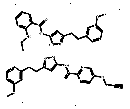 C#CCNc1ccc(C(=O)Nc2cc(CCc3cccc(OC)c3)n[nH]2)nc1.CCNc1ncccc1C(=O)Nc1cc(CCc2cccc(OC)c2)n[nH]1